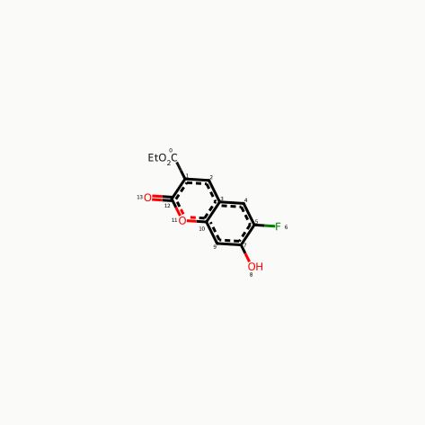 CCOC(=O)c1cc2cc(F)c(O)cc2oc1=O